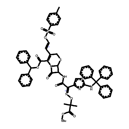 Cc1ccc(S(=O)(=O)O/C=C/C2=C(C(=O)OC(c3ccccc3)c3ccccc3)N3C(=O)C(NC(=O)/C(=N/OC(C)(C)C(=O)OC(C)(C)C)c4csc(NC(c5ccccc5)(c5ccccc5)c5ccccc5)n4)C3SC2)cc1